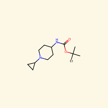 CCC(C)(C)OC(=O)NC1CCN(C2CC2)CC1